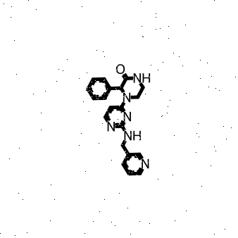 O=C1NCCN(c2ccnc(NCc3cccnc3)n2)C1c1ccccc1